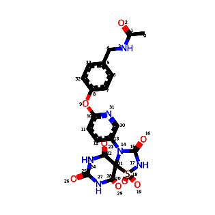 CC(=O)NCc1ccc(Oc2ccc(N3C(=O)NS(=O)(=O)C34C(=O)NC(=O)NC4=O)cn2)cc1